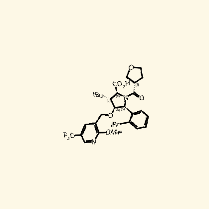 COc1ncc(C(F)(F)F)cc1CO[C@H]1[C@H](C(C)(C)C)[C@@H](C(=O)O)N(C(=O)[C@H]2CCOC2)[C@H]1c1ccccc1C(C)C